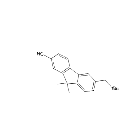 CC(C)(C)Cc1ccc2c(c1)-c1ccc(C#N)cc1C2(C)C